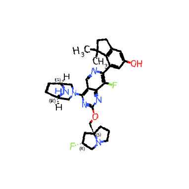 CC1(C)CCc2cc(O)cc(-c3ncc4c(N5C[C@H]6CC[C@@H](C5)N6)nc(OC[C@@]56CCCN5C[C@H](F)C6)nc4c3F)c21